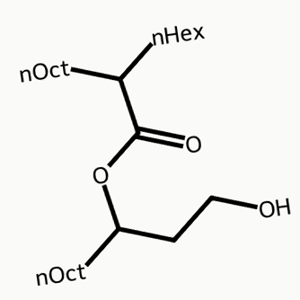 CCCCCCCCC(CCO)OC(=O)C(CCCCCC)CCCCCCCC